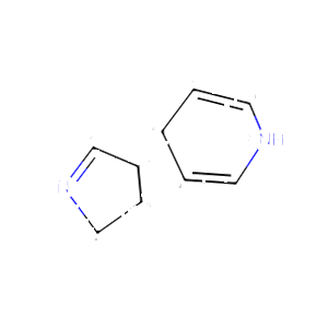 C1=CNC=CC1.C1=NCCC1